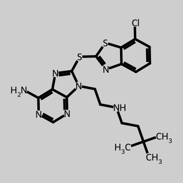 CC(C)(C)CCNCCn1c(Sc2nc3cccc(Cl)c3s2)nc2c(N)ncnc21